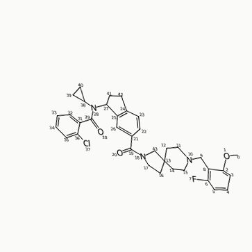 COc1cccc(F)c1CN1CCC2(CC1)CCN(C(=O)c1ccc3c(c1)C(N(C(=O)c1ccccc1Cl)C1CC1)CC3)C2